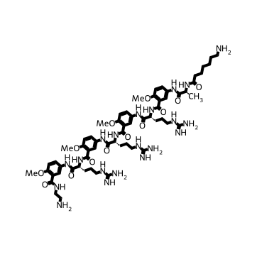 COc1ccc(NC(=O)[C@@H](CCCNC(=N)N)NC(=O)c2cc(NC(=O)[C@@H](CCCNC(=N)N)NC(=O)c3cc(NC(=O)[C@@H](CCCNC(=N)N)NC(=O)c4cc(NC(=O)[C@@H](C)NC(=O)CCCCCCN)ccc4OC)ccc3OC)ccc2OC)cc1C(=O)NCCN